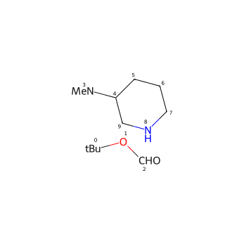 CC(C)(C)OC=O.CNC1CCCNC1